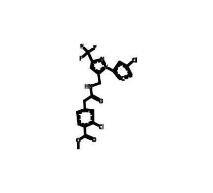 COC(=O)c1ccc(CC(=O)NCc2cc(C(F)(F)F)nn2-c2cccc(Cl)c2)cc1Cl